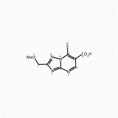 COCc1nc2ncc(C(=O)O)c([S])n2n1